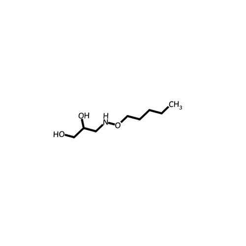 CCCCCONCC(O)CO